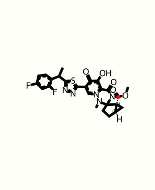 COC(=O)[C@]12C[C@H]1CCC21N(C)C(=O)c2c(O)c(=O)c(-c3nnc(C(C)c4ccc(F)cc4F)s3)cn2N1C